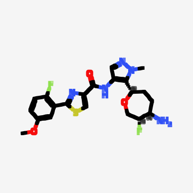 COc1ccc(F)c(-c2nc(C(=O)Nc3cnn(C)c3[C@@H]3CC[C@@H](N)[C@H](F)CO3)cs2)c1